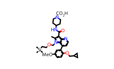 COc1ccc(OCC2CC2)c(-c2ccnc3c(C(=O)NC4CCN(C(=O)O)CC4)c(C)n(COCC[Si](C)(C)C)c23)c1